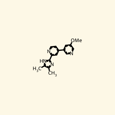 COc1cncc(-c2ccnc(-c3nc(C)c(C)[nH]3)c2)c1